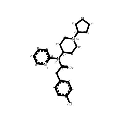 O=C(Cc1ccc(Cl)cc1)N(c1ccccn1)C1CCN(C2CCCC2)CC1